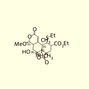 CCOC(=O)C1C[C@]2(C)C(=O)O[C@@H]3[C@H](O)C4C(=CC(=O)O[C@@H]4OC)[C@@](C)(C1SCC)[C@@H]32